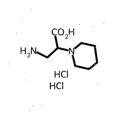 Cl.Cl.NCC(C(=O)O)N1CCCCC1